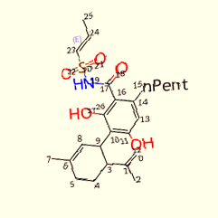 C=C(C)C1CCC(C)=CC1c1c(O)cc(CCCCC)c(C(=O)NS(=O)(=O)/C=C/C)c1O